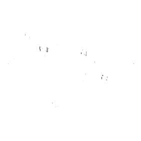 Cl.O=C1c2ccccc2CN1CC1CCN(CC(=O)N(c2ccccc2)c2ccccc2)CC1